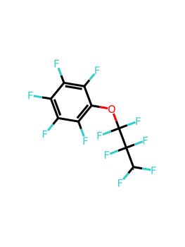 F[C](F)C(F)(F)C(F)(F)Oc1c(F)c(F)c(F)c(F)c1F